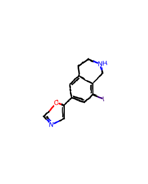 Ic1cc(-c2cnco2)cc2c1CNCC2